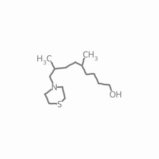 CC(CCCCO)CCC(C)CN1CCSCC1